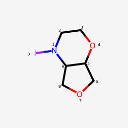 IN1CCOC2COCC21